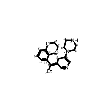 CCC(=C1C=NC=C(N2CCNCC2)C1)c1cccc2c1OCCO2